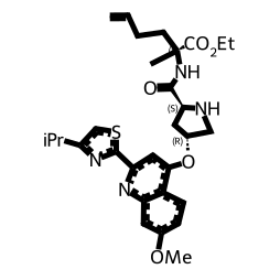 C=CCC[C@](C)(NC(=O)[C@@H]1C[C@@H](Oc2cc(-c3nc(C(C)C)cs3)nc3cc(OC)ccc23)CN1)C(=O)OCC